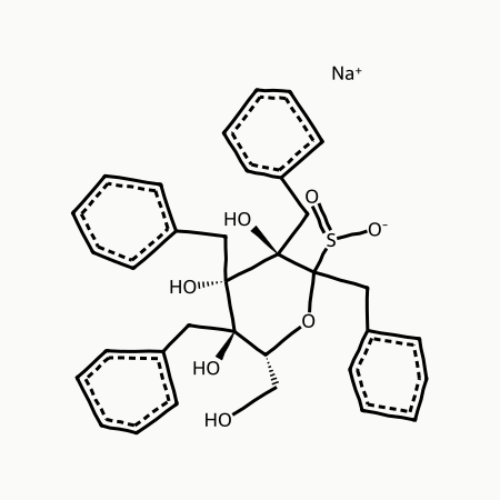 O=S([O-])C1(Cc2ccccc2)O[C@H](CO)[C@](O)(Cc2ccccc2)[C@@](O)(Cc2ccccc2)[C@]1(O)Cc1ccccc1.[Na+]